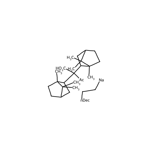 CC(=O)C(C(=O)O)(C1CC2CCC1(C)C2(C)C)C1CC2CCC1(C)C2(C)C.CCCCCCCCCCC[CH2][Na]